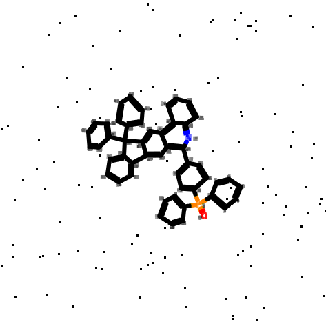 O=P(c1ccccc1)(c1ccccc1)c1ccc(-c2nc3ccccc3c3cc4c(cc23)-c2ccccc2C4(c2ccccc2)c2ccccc2)cc1